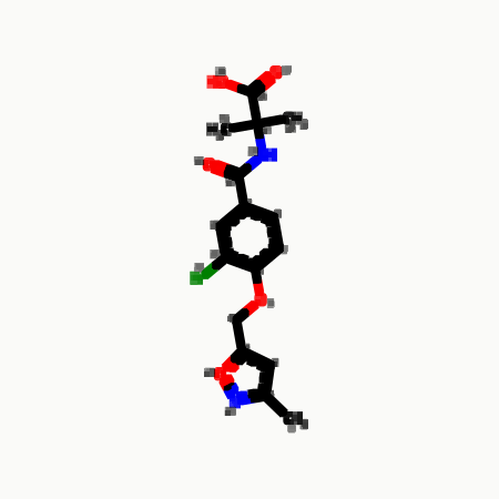 Cc1cc(COc2ccc(C(=O)NC(C)(C)C(=O)O)cc2Br)on1